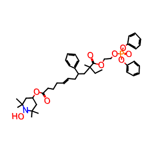 CCC(C)(CC(C/C=C/CCCC(=O)OC1CC(C)(C)N(O)C(C)(C)C1)c1ccccc1)C(=O)OCCOP(=O)(Oc1ccccc1)Oc1ccccc1